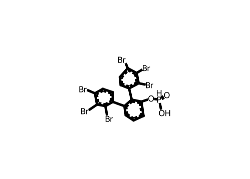 O=[PH](O)Oc1cccc(-c2ccc(Br)c(Br)c2Br)c1-c1ccc(Br)c(Br)c1Br